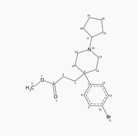 COC(=O)CCC1(c2ccc(Br)cc2)CCN(C2CCCC2)CC1